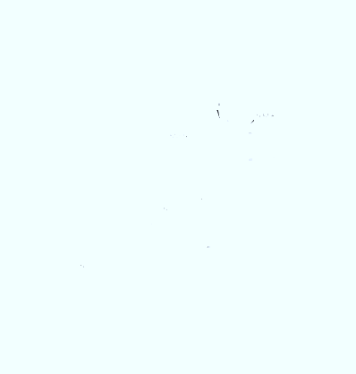 CNC1C2OC3(O)C(NC(=O)Cc4ccncc4)C[C@@H](C)OC3OC2[C@@H](O)[C@H](NC)[C@@H]1O